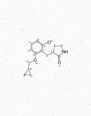 O=C1NCCC1Cc1c(Cl)cccc1OCC1CC1